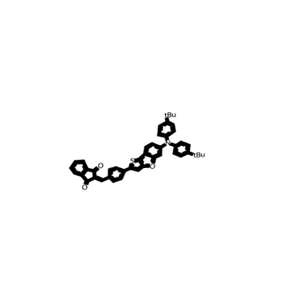 CC(C)(C)c1ccc(N(c2ccc(C(C)(C)C)cc2)c2ccc3c(c2)oc2cc(-c4ccc(C=C5C(=O)c6ccccc6C5=O)cc4)sc23)cc1